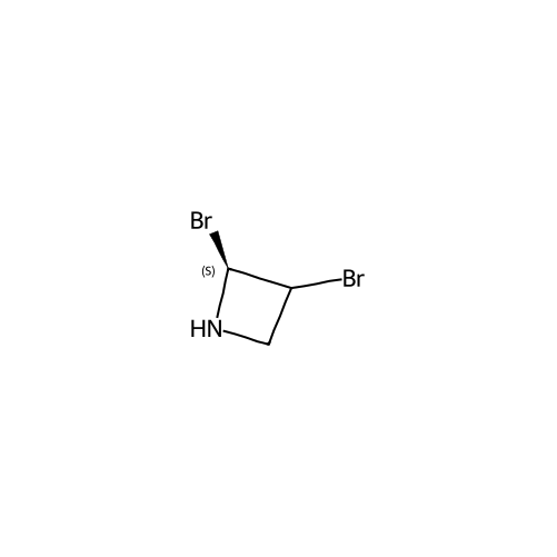 BrC1CN[C@H]1Br